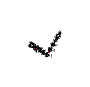 Cn1ccn(C)[c]1=[Pt].Cn1ccn(C)[c]1=[Pt].Cn1ccn(C)[c]1=[Pt].Cn1ccn(C)[c]1=[Pt].Cn1ccn(C)[c]1=[Pt].IN(I)C12CCC(CC1)CC2.IN(I)C1CC1.IN(I)C1CCC1.IN(I)C1CCCC1.IN(I)C1CCCCCC1